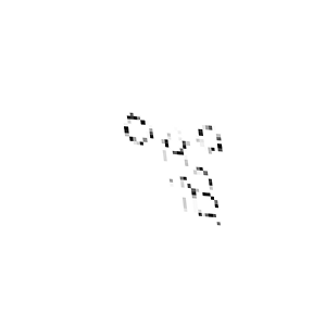 Cc1cnc2c(=O)n(-c3nc(-c4ccccc4)oc3-c3ccccc3)ccc2c1